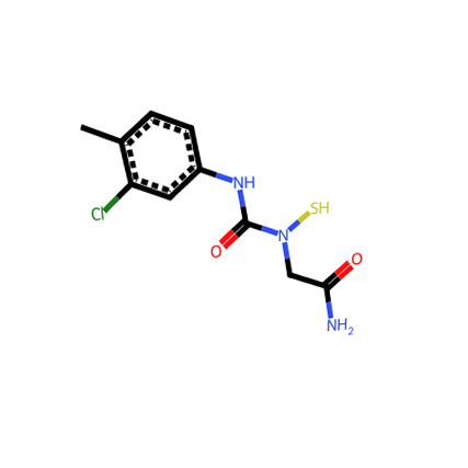 Cc1ccc(NC(=O)N(S)CC(N)=O)cc1Cl